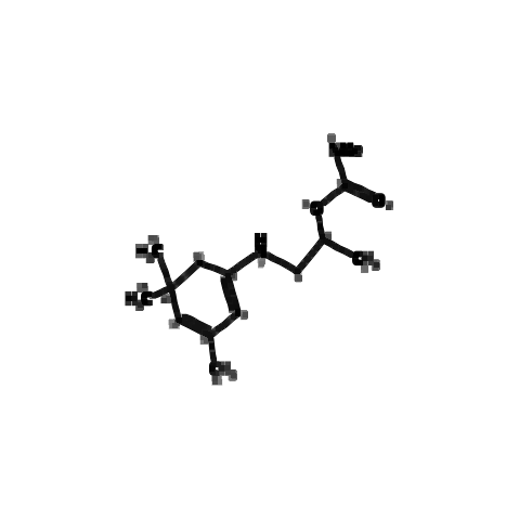 CNC(=O)OC(C)CNC1=CC(C)=CC(C)(C)C1